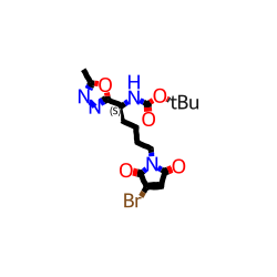 Cc1nnc([C@H](CCCCN2C(=O)C=C(Br)C2=O)NC(=O)OC(C)(C)C)o1